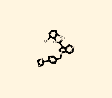 Cc1cccc(C)c1NC(=O)c1cn(Cc2ccc(-c3cnco3)cc2)c2ccncc12